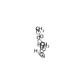 CN1CCC(C(=O)O[C@H]2CC[C@@]3(C)C(=CC[C@@H]4[C@@H]3CC[C@]3(C)C(c5cccnc5)=CC[C@@H]43)C2)CC1